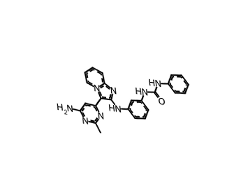 Cc1nc(N)cc(-c2c(Nc3cccc(NC(=O)Nc4ccccc4)c3)nc3ccccn23)n1